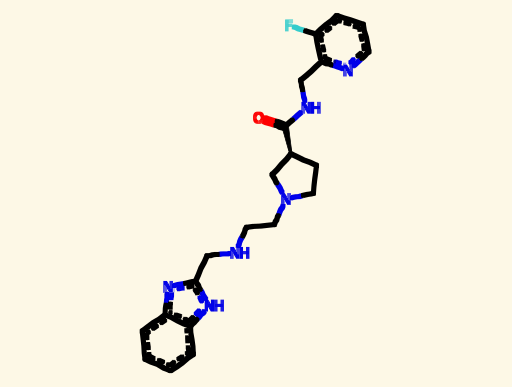 O=C(NCc1ncccc1F)[C@H]1CCN(CCNCc2nc3ccccc3[nH]2)C1